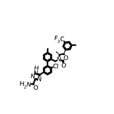 Cc1cc([C@H]2OC(=O)N(Cc3cc(C)ccc3-c3cc(-c4nc(C(N)=O)n[nH]4)ccc3Cl)[C@H]2C)cc(C(F)(F)F)c1